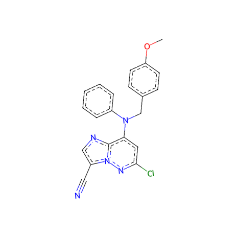 COc1ccc(CN(c2ccccc2)c2cc(Cl)nn3c(C#N)cnc23)cc1